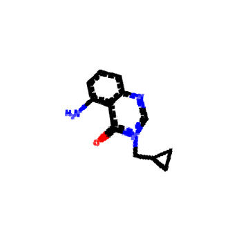 Nc1cccc2ncn(CC3CC3)c(=O)c12